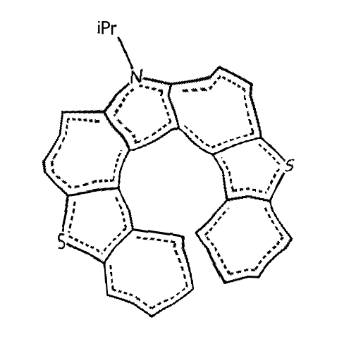 CC(C)n1c2ccc3sc4ccccc4c3c2c2c3c(ccc21)sc1ccccc13